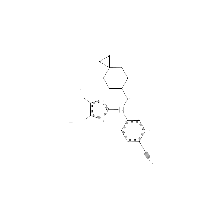 Cc1nc(N(CC2CCC3(CC2)CC3)c2ccc(C#N)cc2)sc1C